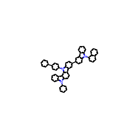 c1ccc(-c2ccc(-n3c4ccc(-c5ccc6c(c5)c5ccccc5n6-c5cccc6ccccc56)cc4c4ccc5c(c6ccccc6n5-c5ccccc5)c43)cc2)cc1